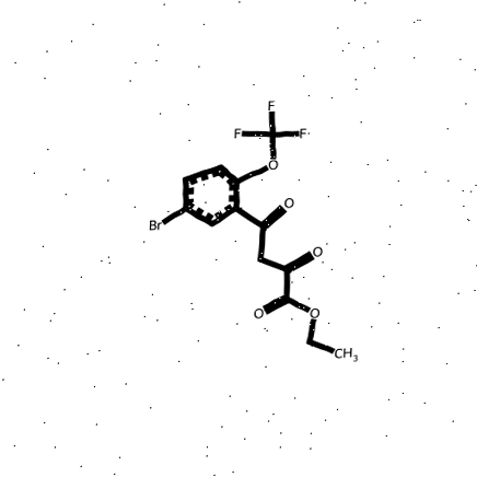 CCOC(=O)C(=O)CC(=O)c1cc(Br)ccc1OC(F)(F)F